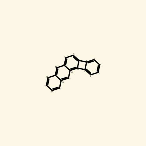 c1ccc2c(c1)-c1ccc3cc4ccccc4cc3c1-2